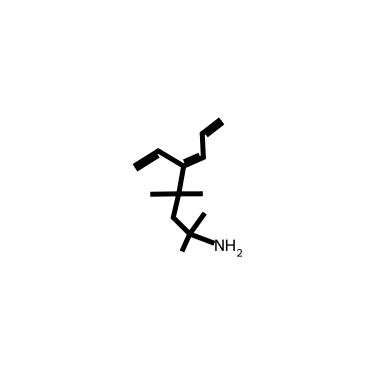 C=C/C=C(\C=C)C(C)(C)CC(C)(C)N